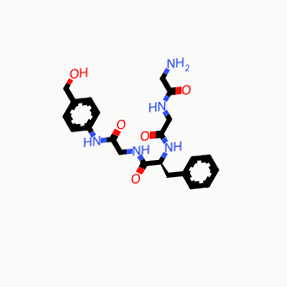 NCC(=O)NCC(=O)N[C@@H](Cc1ccccc1)C(=O)NCC(=O)Nc1ccc(CO)cc1